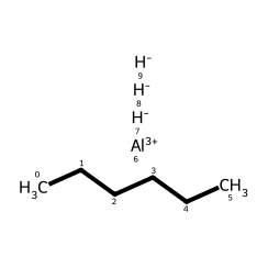 CCCCCC.[Al+3].[H-].[H-].[H-]